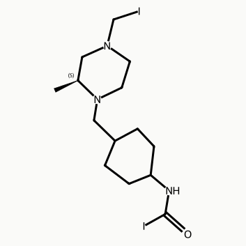 C[C@H]1CN(CI)CCN1CC1CCC(NC(=O)I)CC1